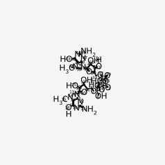 BP(=O)(OP(=O)(O)OC[C@H]1O[C@@H](n2c[n+](C)c3c(O)nc(N)nc32)[C@@H](O)C1O)OP(=O)(O)OC[C@H]1O[C@@H](n2c[n+](C)c3c(O)nc(N)nc32)C(O)[C@H]1O